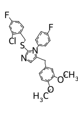 COc1ccc(Cc2cnc(SCc3ccc(F)cc3Cl)n2-c2ccc(F)cc2)cc1OC